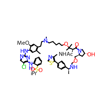 COc1cc(CCN(C)CCCCCOC(C)(C)[C@H](NC(C)=O)C(=O)N2C[C@H](O)C[C@H]2COCN[C@@H](C)c2ccc(-c3scnc3C)cc2)c(C)cc1Nc1ncc(Cl)c(Nc2ccccc2S(=O)(=O)C(C)C)n1